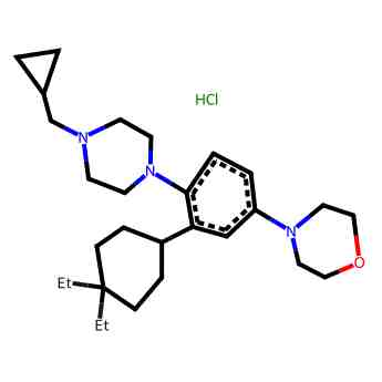 CCC1(CC)CCC(c2cc(N3CCOCC3)ccc2N2CCN(CC3CC3)CC2)CC1.Cl